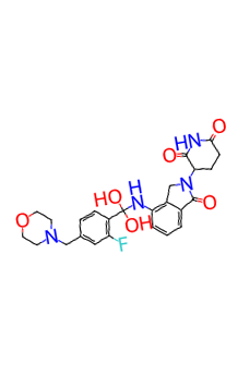 O=C1CCC(N2Cc3c(NC(O)(O)c4ccc(CN5CCOCC5)cc4F)cccc3C2=O)C(=O)N1